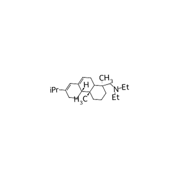 CCN(CC)C[C@@]1(C)CCC[C@@]2(C)C1CC=C1C=C(C(C)C)CC[C@H]12